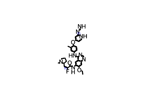 CCOc1cc2ncnc(Nc3ccc(Oc4cc[nH]/c(=N\C=N)c4)c(C)c3)c2cc1NC(=O)/C(F)=C\C1CCCN1C